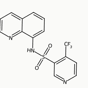 O=S(=O)(Nc1cccc2cccnc12)c1cnccc1C(F)(F)F